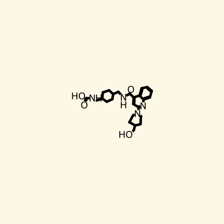 O=C(O)NCC1CCC(CNC(=O)c2cc(N3CCC(CO)CC3)nc3ccccc23)CC1